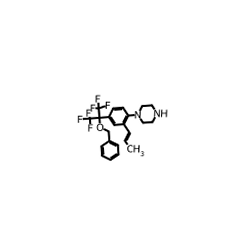 CC=Cc1cc(C(OCc2ccccc2)(C(F)(F)F)C(F)(F)F)ccc1N1CCNCC1